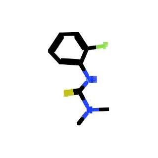 CN(C)C(=S)Nc1ccccc1F